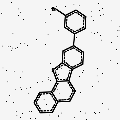 Brc1cccc(-c2ccc3c(c2)sc2c4ccccc4ccc32)c1